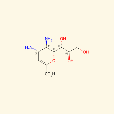 N[C@H]1[C@H]([C@H](O)[C@H](O)CO)OC(C(=O)O)=C[C@@H]1N